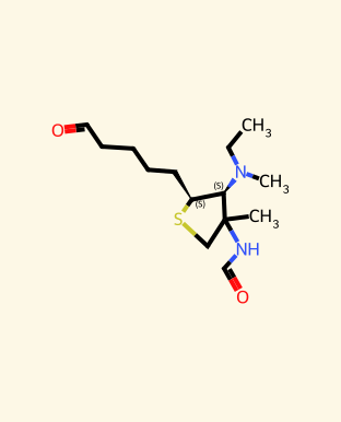 CCN(C)[C@@H]1[C@H](CCCCC=O)SCC1(C)NC=O